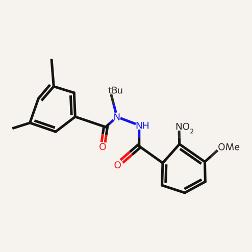 COc1cccc(C(=O)NN(C(=O)c2cc(C)cc(C)c2)C(C)(C)C)c1[N+](=O)[O-]